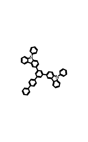 c1ccc(-c2ccc(-c3cc(-c4ccc5c(c4)c4ccccc4n5-c4ccccc4)cc(-c4ccc5c(c4)c4ccccc4n5-c4ccccc4)c3)cc2)cc1